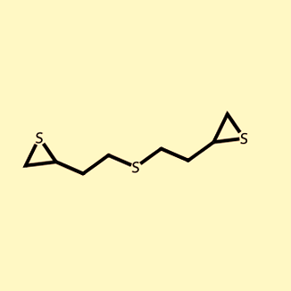 C(CC1CS1)SCCC1CS1